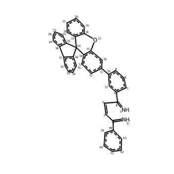 N=C(/C=C\C(=N)c1cccc(-c2ccc3c(c2)Oc2ccccc2C32c3ccccc3-c3ccccc32)c1)c1ccccc1